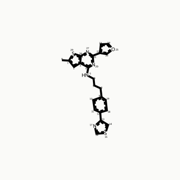 Cc1cc2c(NCCCc3ccc(-c4cscn4)cc3)nc(-c3ccoc3)nc2s1